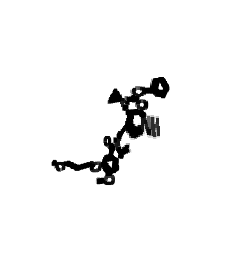 COCCCOc1cc(C(=O)N(C[C@@H]2CNC[C@H]2CN(C(=O)Oc2ccccc2)C2CC2)C(C)C)ccc1OC